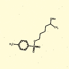 COC(C)CCCCOS(=O)(=O)c1ccc(C)cc1